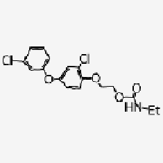 CCNC(=O)OCCOc1ccc(Oc2cccc(Cl)c2)cc1Cl